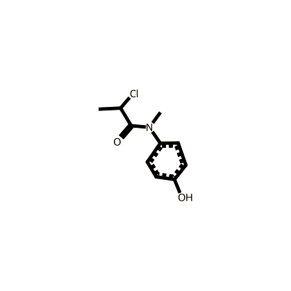 CC(Cl)C(=O)N(C)c1ccc(O)cc1